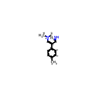 Cc1ccc(/C(C=N)=C/N(C)C)cc1